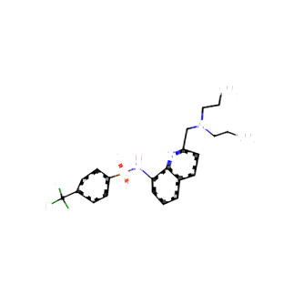 CCCN(CCC)Cc1ccc2cccc(NS(=O)(=O)c3ccc(C(F)(F)F)cc3)c2n1